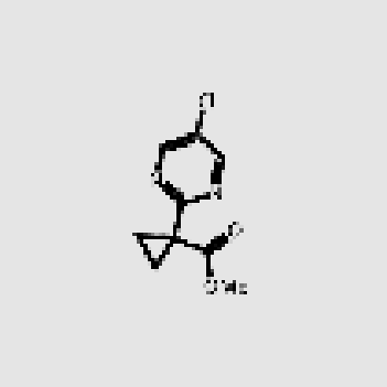 COC(=O)C1(c2ncc(Cl)cn2)CC1